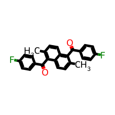 Cc1ccc2c(C(=O)c3ccc(F)cc3)c(C)ccc2c1C(=O)c1ccc(F)cc1